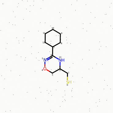 SCC1CON=C(C2CCCCC2)N1